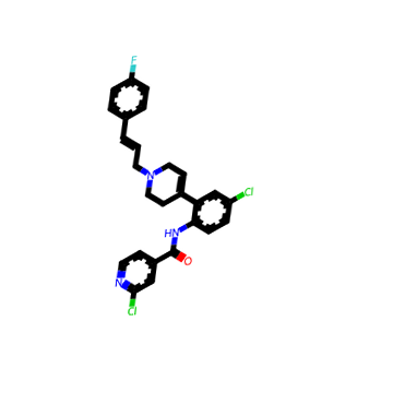 O=C(Nc1ccc(Cl)cc1C1=CCN(C/C=C/c2ccc(F)cc2)CC1)c1ccnc(Cl)c1